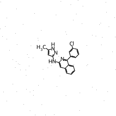 Cc1cc(Nc2cc3ccccc3c(-c3cccc(Cl)c3)n2)n[nH]1